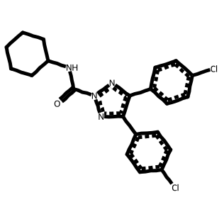 O=C(NC1CCCCC1)n1nc(-c2ccc(Cl)cc2)c(-c2ccc(Cl)cc2)n1